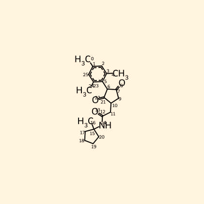 Cc1cc(C)c(C2C(=O)CC(CC(=O)NC3(C)CCCC3)C2=O)c(C)c1